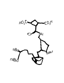 CCCCC(CCCC)CCCC1C2CC(CC3C(CNC(=O)C4C(C(=O)O)CC4C(=O)O)CCC3C(C)(C)C)C1C2